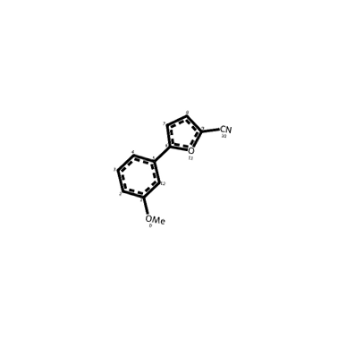 COc1cccc(-c2ccc(C#N)o2)c1